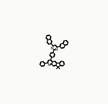 CC1(C)c2ccccc2-c2cc3c(-c4ccc(-c5nc(-c6ccc7ccccc7c6)cc(-c6ccc7ccccc7c6)n5)cc4)cc(-c4ccccc4)nc3cc21